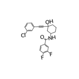 O=C(NC1CCCC(O)(C#Cc2cccc(Cl)c2)C1)c1ccc(F)c(F)c1